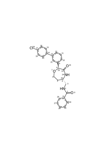 O=C(NC[C@@H]1CCO[C@@H](c2cccc(-c3ccc(Cl)cc3)c2)C(=O)N1)c1ccccn1